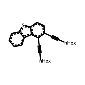 CCCCCCC#Cc1ccc2sc3ccccc3c2c1C#CCCCCCC